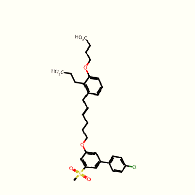 CS(=O)(=O)c1cc(OCCCCCCc2cccc(OCCCC(=O)O)c2CCC(=O)O)cc(-c2ccc(Cl)cc2)c1